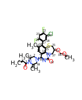 C=CC(=O)N1[C@H](C)CN(c2nc(=O)n3c4c(c(-c5cc(Cl)c(F)cc5F)c(C)cc24)SCC(OCOC)C3)C[C@@H]1C